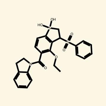 CCOc1c(C(=O)N2CCc3ccccc32)ccc2c1C(S(=O)(=O)c1ccccc1)CS2(O)O